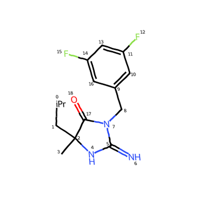 CC(C)CC1(C)NC(=N)N(Cc2cc(F)cc(F)c2)C1=O